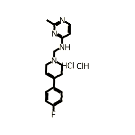 Cc1nccc(NCN2CC=C(c3ccc(F)cc3)CC2)n1.Cl.Cl